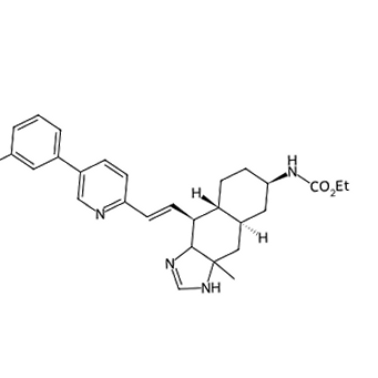 CCOC(=O)N[C@@H]1CC[C@@H]2[C@@H](C1)CC1(C)NC=NC1[C@H]2/C=C/c1ccc(-c2cccc(F)c2)cn1